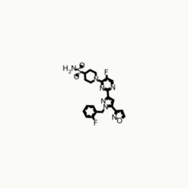 NS(=O)(=O)C1CCN(c2nc(-c3cc(-c4ccon4)n(Cc4ccccc4F)n3)ncc2F)CC1